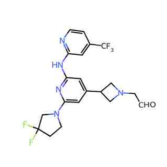 O=CCN1CC(c2cc(Nc3cc(C(F)(F)F)ccn3)nc(N3CCC(F)(F)C3)c2)C1